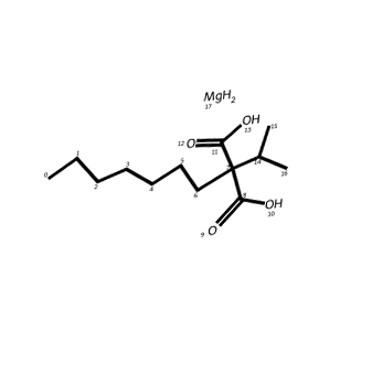 CCCCCCCC(C(=O)O)(C(=O)O)C(C)C.[MgH2]